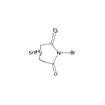 O=C1CCC(=O)N1Br.[SnH2]